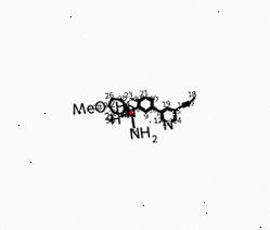 [2H]C1([2H])OC(N)=N[C@]12c1cc(-c3cncc(C#CC)c3)ccc1C[C@]21CC[C@@H](OC)[C@H](C)C1